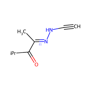 C#CN/N=C(\C)C(=O)C(C)C